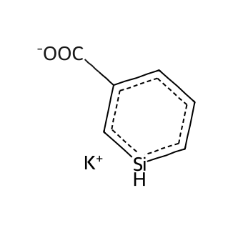 O=C([O-])c1ccc[siH]c1.[K+]